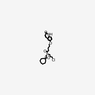 O=C(CCCCOc1ccc2[nH]c(=O)ccc2c1)N(CCC1CCCCCCC1)CC(O)CCl